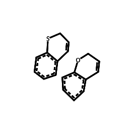 C1=Cc2ccccc2OC1.C1=Cc2ccccc2SC1